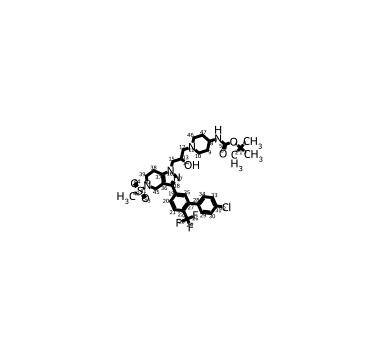 CC(C)(C)OC(=O)NC1CCN(CC(O)Cn2nc(-c3ccc(C(F)(F)F)c(-c4ccc(Cl)cc4)c3)c3c2CCN(S(C)(=O)=O)C3)CC1